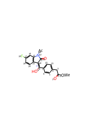 COC(=O)Cc1ccc(/C(O)=C2\C(=O)N(C(C)=O)c3cc(F)ccc32)cc1